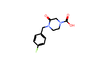 O=C(O)N1CCN(Cc2ccc(F)cc2)C(=O)C1